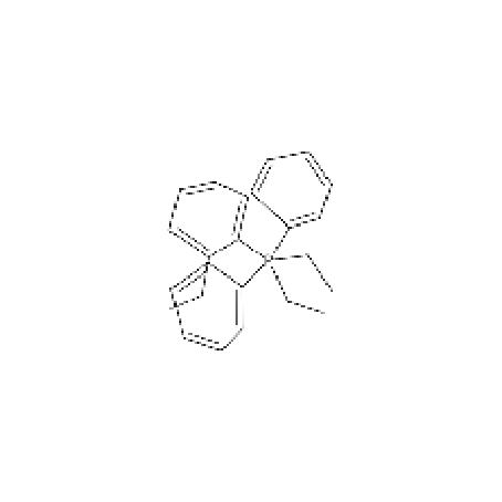 CCc1ccccc1P(CC)(CC)(c1ccccc1)c1ccccc1